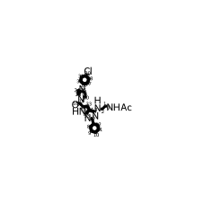 CC(=O)NCCNc1nc(-c2ccccc2)nc2[nH]c(C(=O)N3CC4CC3CN4c3ccc(Cl)cc3)cc12